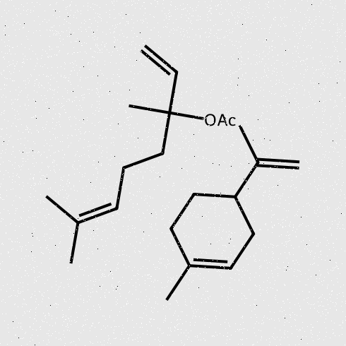 C=C(C)C1CC=C(C)CC1.C=CC(C)(CCC=C(C)C)OC(C)=O